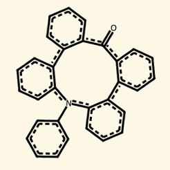 O=c1c2ccccc2c2ccccc2n(-c2ccccc2)c2ccccc2c2ccccc12